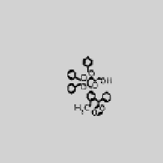 CCc1ccc([C@@H]2O[C@H](CO)[C@@H](OCc3ccccc3)[C@@H](OCc3ccccc3)[C@H]2OCc2ccccc2)cc1C(C1=CC=CCC1)C1=COC=CO1